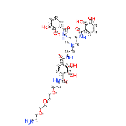 NCCOCCOCCOCCNC(=O)c1ccc(C(=O)NCCN(CCNC(=O)c2cccc(O)c2O)CCNC(=O)c2cccc(O)c2O)c(O)c1O